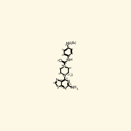 CC(=O)Nc1ccc(NC(=O)N2CCN(c3nc(N)nc4scnc34)[C@@H](C)C2)cc1